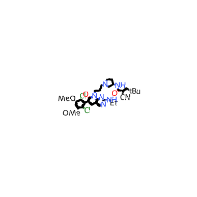 CCNc1ncc2cc(-c3c(Cl)c(OC)cc(OC)c3Cl)c(=O)n(CCCN3CCC(NC(=O)C(C#N)=CC(C)(C)C)C3)c2n1